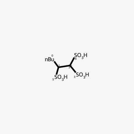 CCCCC([C](S(=O)(=O)O)S(=O)(=O)O)S(=O)(=O)O